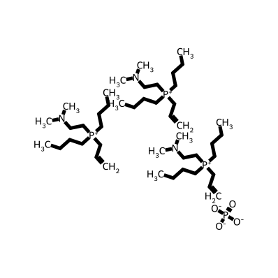 C=CC[P+](CCCC)(CCCC)CCN(C)C.C=CC[P+](CCCC)(CCCC)CCN(C)C.C=CC[P+](CCCC)(CCCC)CCN(C)C.O=P([O-])([O-])[O-]